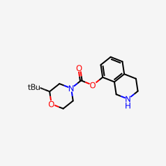 CC(C)(C)C1CN(C(=O)Oc2cccc3c2CNCC3)CCO1